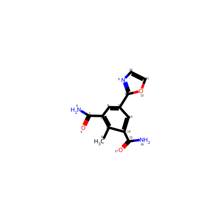 Cc1c(C(N)=O)cc(-c2ncco2)cc1C(N)=O